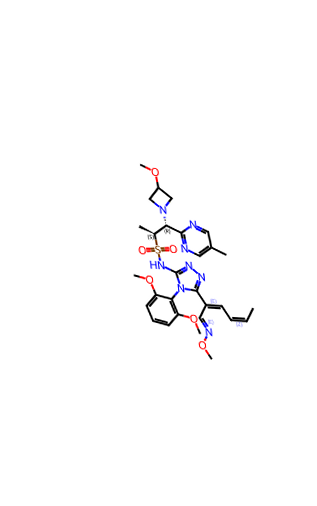 C\C=C/C=C(\C=N\OC)c1nnc(NS(=O)(=O)[C@@H](C)[C@@H](c2ncc(C)cn2)N2CC(OC)C2)n1-c1c(OC)cccc1OC